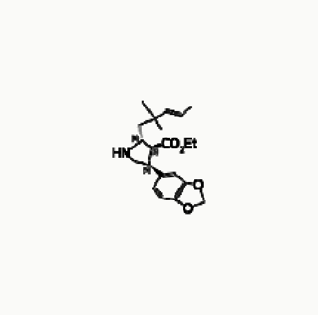 CC=CC(C)(C)C[C@H]1NC[C@H](c2ccc3c(c2)OCO3)[C@@H]1C(=O)OCC